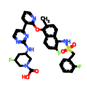 Cc1ccc2c(NS(=O)(=O)Cc3ccccc3F)c(F)ccc2c1Oc1ncccc1-c1ccnc(N[C@@H]2C[C@@H](F)CN(C(=O)O)C2)n1